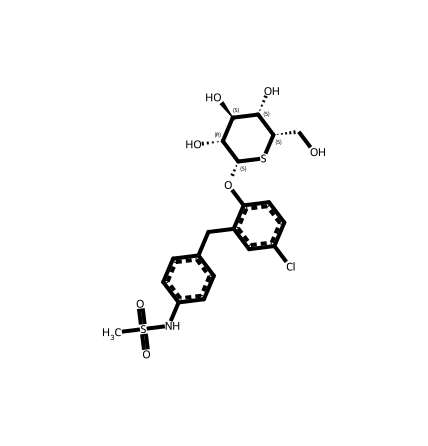 CS(=O)(=O)Nc1ccc(Cc2cc(Cl)ccc2O[C@H]2S[C@@H](CO)[C@@H](O)[C@H](O)[C@H]2O)cc1